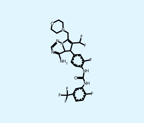 NC1=NC=NN2C(CN3CCOCC3)=C(C(F)F)C(c3ccc(NC(=O)Nc4cc(C(F)(F)F)ccc4F)c(F)c3)C12